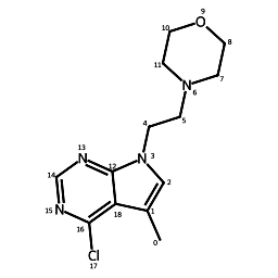 Cc1cn(CCN2CCOCC2)c2ncnc(Cl)c12